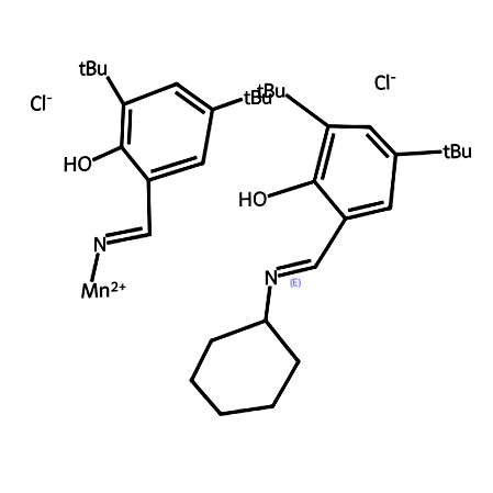 CC(C)(C)c1cc(/C=N/C2CCCCC2)c(O)c(C(C)(C)C)c1.CC(C)(C)c1cc(C=[N][Mn+2])c(O)c(C(C)(C)C)c1.[Cl-].[Cl-]